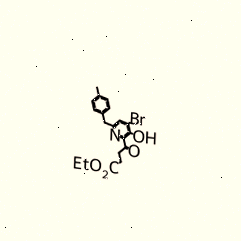 CCOC(=O)CCC(=O)c1nc(Cc2ccc(C)cc2)cc(Br)c1O